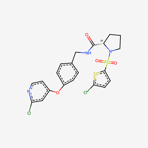 O=C(NCc1ccc(Oc2ccnc(Cl)c2)cc1)[C@@H]1CCCN1S(=O)(=O)c1ccc(Cl)s1